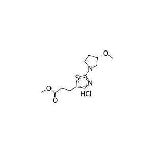 COC(=O)CCc1cnc(N2CC[C@H](OC)C2)s1.Cl